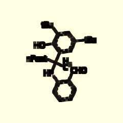 CCCCCC(C)(Pc1ccccc1C=O)c1cc(C(C)(C)C)cc(C(C)(C)C)c1O